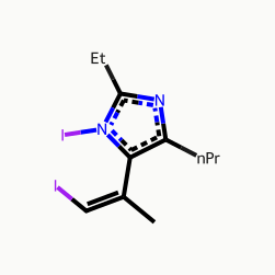 CCCc1nc(CC)n(I)c1/C(C)=C\I